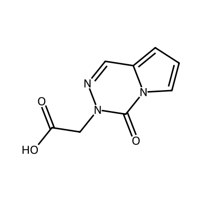 O=C(O)Cn1ncc2cccn2c1=O